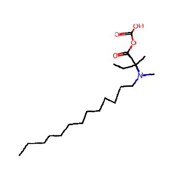 CCCCCCCCCCCCCN(C)C(C)(CC)C(=O)OC(=O)O